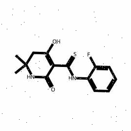 CC1(C)CC(O)=C(C(=S)Nc2ccccc2F)C(=O)N1